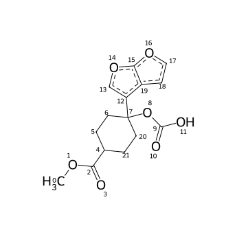 COC(=O)C1CCC(OC(=O)O)(c2coc3occc23)CC1